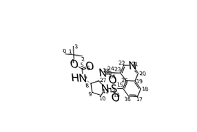 CC(C)(C)OC(=O)N[C@H]1CCN(S(=O)(=O)c2cccc3cncc(C#N)c23)C1